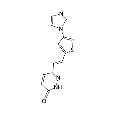 O=c1ccc(/C=C/c2cc(-n3ccnc3)cs2)n[nH]1